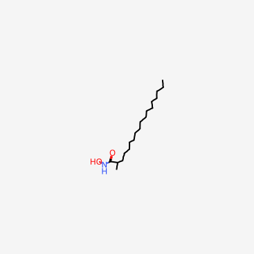 CCCCCCCCCCCCCCCCC(C)C(=O)NO